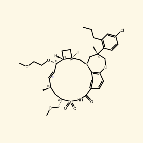 CCCc1cc(Cl)ccc1[C@]1(C)COc2ccc3cc2N(C[C@@H]2CC[C@H]2[C@@H](OCCOC)/C=C/[C@H](C)C[C@@H](COC)S(=O)(=O)NC3=O)C1